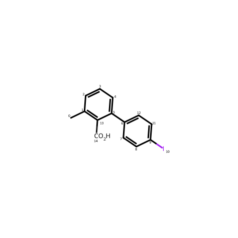 Cc1cccc(-c2ccc(I)cc2)c1C(=O)O